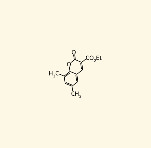 CCOC(=O)c1cc2cc(C)cc(C)c2oc1=O